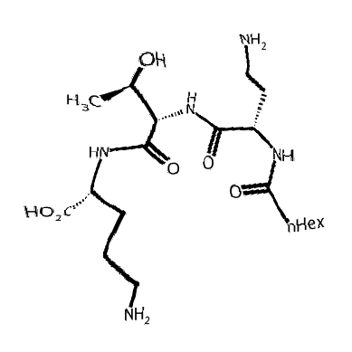 CCCCCCC(=O)N[C@@H](CCN)C(=O)N[C@H](C(=O)N[C@H](CCCN)C(=O)O)[C@@H](C)O